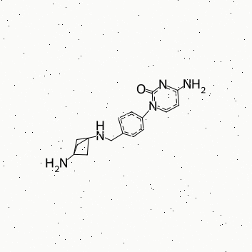 Nc1ccn(-c2ccc(CNC34CC(N)(C3)C4)cc2)c(=O)n1